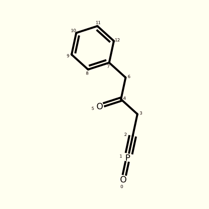 O=P#CCC(=O)Cc1ccccc1